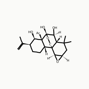 C=C(C)[C@@H]1CC[C@H]2[C@@]34CO[C@@](O)([C@@H](O)[C@@H]3C(C)(C)C[C@H]3O[C@H]34)[C@@]2(C(C)=O)[C@@H]1O